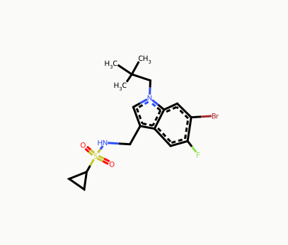 CC(C)(C)Cn1cc(CNS(=O)(=O)C2CC2)c2cc(F)c(Br)cc21